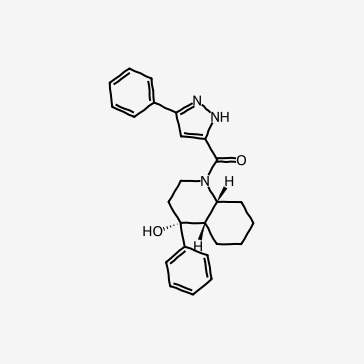 O=C(c1cc(-c2ccccc2)n[nH]1)N1CC[C@](O)(c2ccccc2)[C@H]2CCCC[C@H]21